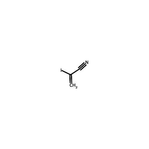 C=C(I)C#N